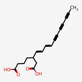 CC#CC#CC#CC=CC=CC(CCCC(=O)O)CC(=O)O